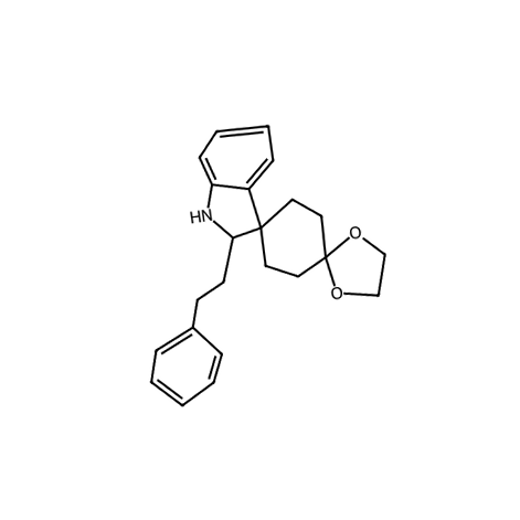 c1ccc(CCC2Nc3ccccc3C23CCC2(CC3)OCCO2)cc1